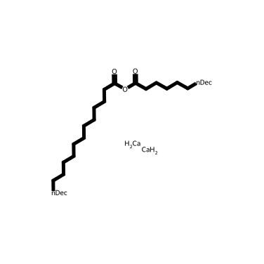 CCCCCCCCCCCCCCCCCCCCCC(=O)OC(=O)CCCCCCCCCCCCCCC.[CaH2].[CaH2]